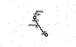 CCCCCC(=O)N(CCCCCCNC(=O)c1ccccc1)CCC(=O)Nc1ccc(OC(O)CNC(C)=O)cc1